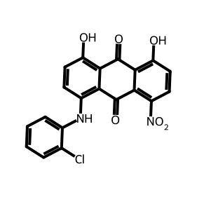 O=C1c2c(O)ccc(Nc3ccccc3Cl)c2C(=O)c2c([N+](=O)[O-])ccc(O)c21